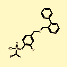 O=P(O)(Oc1ccc(CSCc2ccccc2-c2ccccc2)cc1Br)C(F)F